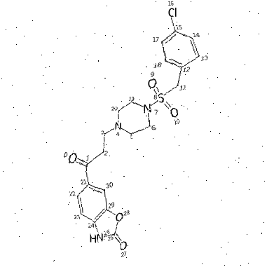 O=C(CCN1CCN(S(=O)(=O)Cc2ccc(Cl)cc2)CC1)c1ccc2[nH]c(=O)oc2c1